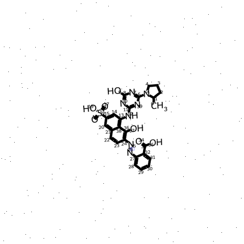 CC1CCCN1c1nc(O)nc(Nc2cc(S(=O)(=O)O)cc3ccc(/N=N/c4ccccc4C(=O)O)c(O)c23)n1